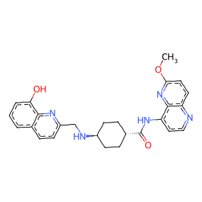 COc1ccc2nccc(NC(=O)[C@H]3CC[C@H](NCc4ccc5cccc(O)c5n4)CC3)c2n1